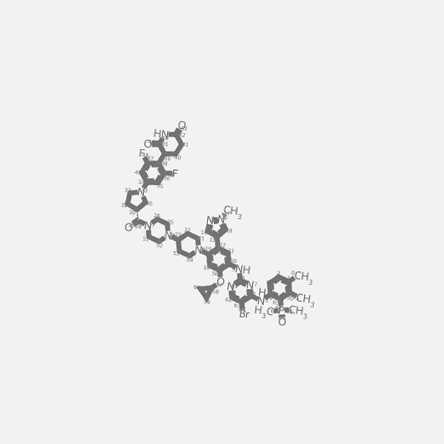 Cc1ccc(Nc2nc(Nc3cc(-c4cnn(C)c4)c(N4CCC(N5CCN(C(=O)[C@@H]6CCN(c7cc(F)c(C8CCC(=O)NC8=O)c(F)c7)C6)CC5)CC4)cc3OC3CC3)ncc2Br)c(P(C)(C)=O)c1C